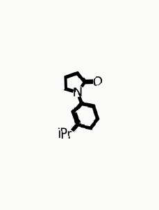 CC(C)C1=CC(N2CCCC2=O)CCC1